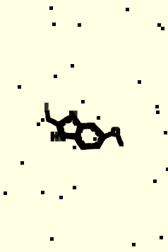 COc1ccc2[nH]c(CI)nc2c1